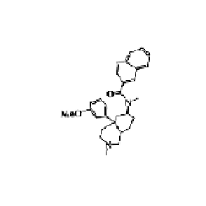 COc1cccc(C23CCN(C)CC2CCC(N(C)C(=O)c2ccc4ccccc4c2)C3)c1